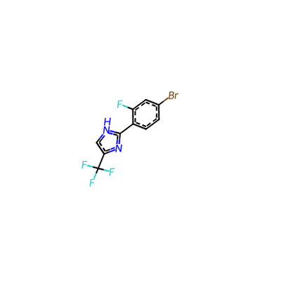 Fc1cc(Br)ccc1-c1nc(C(F)(F)F)c[nH]1